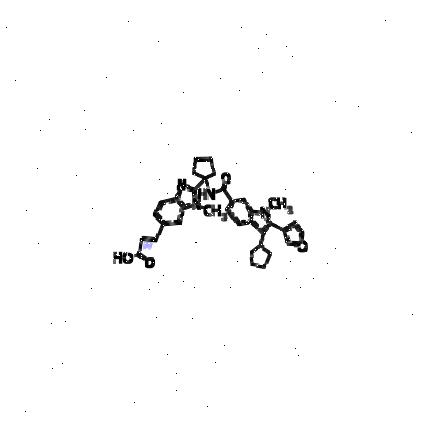 Cn1c(C2(NC(=O)c3ccc4c(C5CCCC5)c(-c5ccoc5)n(C)c4c3)CC=CC2)nc2ccc(/C=C/C(=O)O)cc21